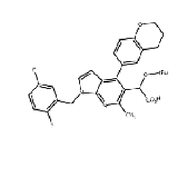 Cc1nc2c(ccn2Cc2cc(F)ccc2F)c(-c2ccc3c(c2)CCCO3)c1C(OC(C)(C)C)C(=O)O